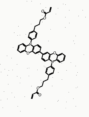 C=CC(=O)OCCCc1ccc(N2c3ccccc3Oc3cc(-c4ccc5c(c4)Oc4ccccc4N5c4ccc(CCCOC(=O)C=C)cc4)ccc32)cc1